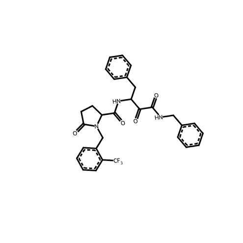 O=C(NCc1ccccc1)C(=O)C(Cc1ccccc1)NC(=O)C1CCC(=O)N1Cc1ccccc1C(F)(F)F